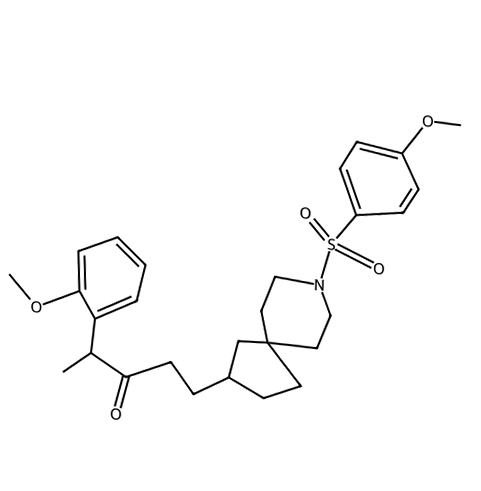 COc1ccc(S(=O)(=O)N2CCC3(CCC(CCC(=O)C(C)c4ccccc4OC)C3)CC2)cc1